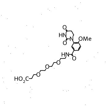 COc1ccc(C(=O)NCCOCCOCCOCCC(=O)O)cc1N1CCC(=O)NC1=O